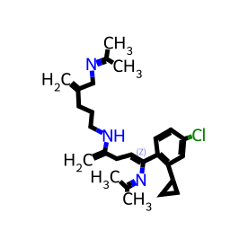 C=C(CCCNC(=C)C/C=C(\N=C(C)C)c1ccc(Cl)cc1C1CC1)CN=C(C)C